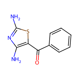 Nc1nc(N)c(C(=O)c2ccccc2)s1